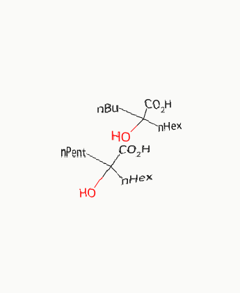 CCCCCCC(O)(CCCC)C(=O)O.CCCCCCC(O)(CCCCC)C(=O)O